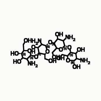 NC1C(O)[C@H](O)C(CO)O[C@H]1O[C@@H]1C(CO)O[C@@H](O[C@@H]2C(CO)O[C@@H](O[C@@H]3C(CO)O[C@@H](O)C(N)C3O)C(N)C2O)C(N)C1O